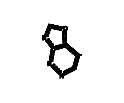 [c]1cnnc2ncoc12